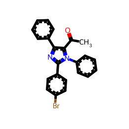 CC(=O)c1c(-c2ccccc2)nc(-c2ccc(Br)cc2)n1-c1ccccc1